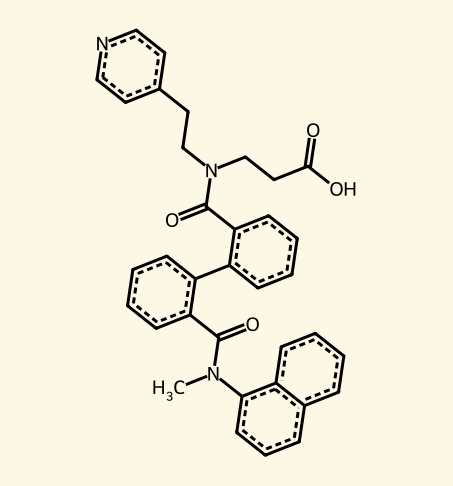 CN(C(=O)c1ccccc1-c1ccccc1C(=O)N(CCC(=O)O)CCc1ccncc1)c1cccc2ccccc12